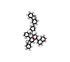 c1ccc(N(c2ccc(-c3ccc4sc5ccccc5c4c3)cc2)c2ccc(-c3cccc4ccccc34)cc2)c(-c2cccc3c2oc2ccccc23)c1